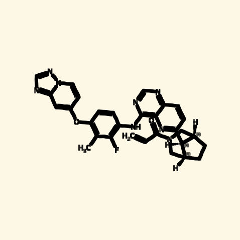 C=CC(=O)N1C[C@H]2CC[C@@H](C1)[C@@H]2c1ccc2ncnc(Nc3ccc(Oc4ccn5ncnc5c4)c(C)c3F)c2n1